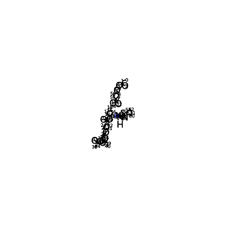 C=CC(=O)OCOc1ccc(C(=O)OCCc2ccc(OC(=O)c3ccc(OCC(COC(=O)C=C)OC(=O)C=C)cc3)c(/C=N/Nc3nc4ccccc4s3)c2)cc1